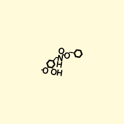 COc1ccc(CNC(=O)OCc2ccccc2)cc1O